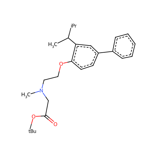 CC(C)C(C)c1cc(-c2ccccc2)ccc1OCCN(C)CC(=O)OC(C)(C)C